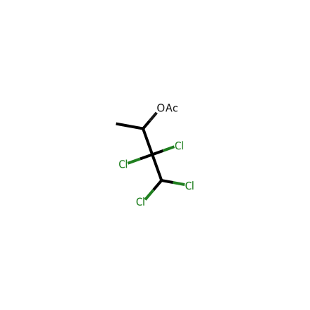 CC(=O)OC(C)C(Cl)(Cl)C(Cl)Cl